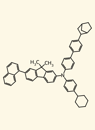 CC1(C)c2cc(-c3cccc4ccccc34)ccc2-c2ccc(N(c3ccc(-c4ccc(C5CC6CCC5C6)cc4)cc3)c3ccc(C4CCCCC4)cc3)cc21